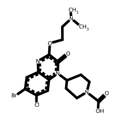 CN(C)CCOc1nc2cc(Br)c(Cl)cc2n(C2CCN(C(=O)O)CC2)c1=O